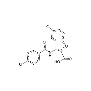 O=C(Nc1c(C(=O)O)oc2ccc(Cl)cc12)c1ccc(Cl)cc1